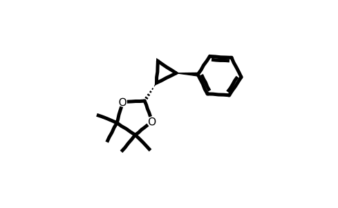 CC1(C)OC([C@@H]2C[C@H]2c2ccccc2)OC1(C)C